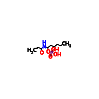 C=CC(=O)NC(CCCCC)OP(=O)(O)O